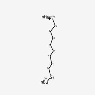 CCCCCCCCCCCCCCCSCCCC